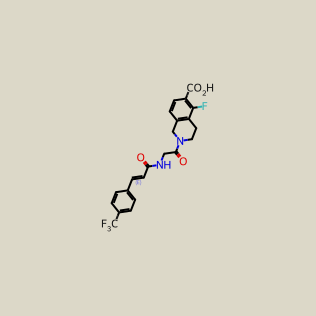 O=C(/C=C/c1ccc(C(F)(F)F)cc1)NCC(=O)N1CCc2c(ccc(C(=O)O)c2F)C1